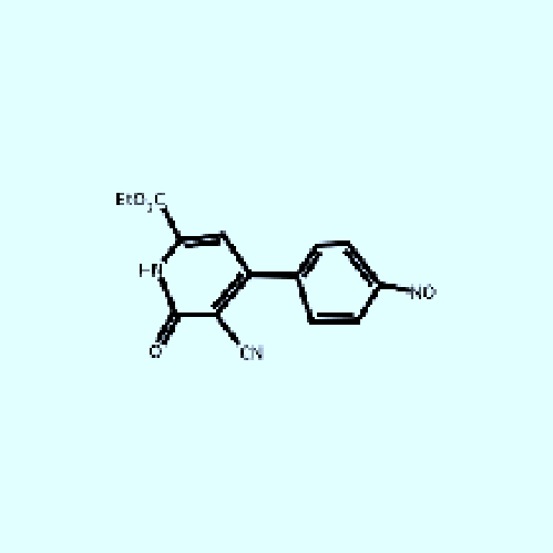 CCOC(=O)c1cc(-c2ccc(N=O)cc2)c(C#N)c(=O)[nH]1